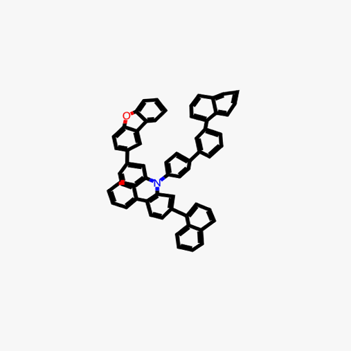 c1ccc(-c2ccc(-c3cccc4ccccc34)cc2N(c2ccc(-c3cccc(-c4cccc5ccccc45)c3)cc2)c2cccc(-c3ccc4oc5ccccc5c4c3)c2)cc1